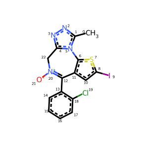 Cc1nnc2n1-c1sc(I)cc1C(c1ccccc1Cl)=[N+]([O-])C2